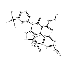 CCNC(=O)N1C(=O)N(c2cccc(C(F)(F)F)c2)C2=C(C(=O)CC2)C1c1ccc(C#N)cc1S(C)(=O)=O